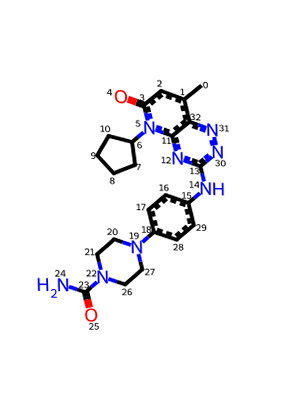 Cc1cc(=O)n(C2CCCC2)c2nc(Nc3ccc(N4CCN(C(N)=O)CC4)cc3)nnc12